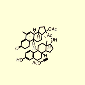 C#COC(C)=O.CC(=O)O[C@]1(C(C)=O)CC[C@H]2[C@@H]3C=C(C)C4=CC(=O)CC[C@]4(C)[C@H]3CC[C@@]21C.C[C@]12CC[C@@H]3c4ccc(O)cc4CC[C@H]3[C@@H]1CC[C@@H]2O